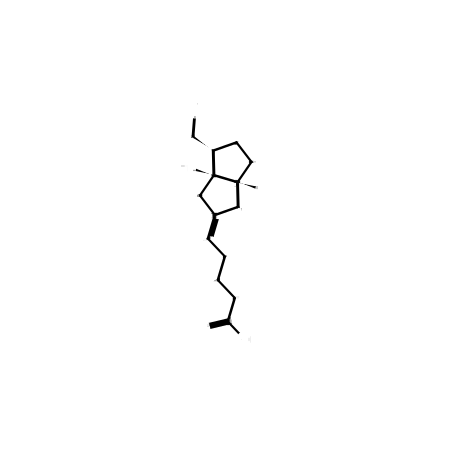 O=C(O)CCC/C=C1\C[C@H]2CC[C@H](CO)[C@H]2C1